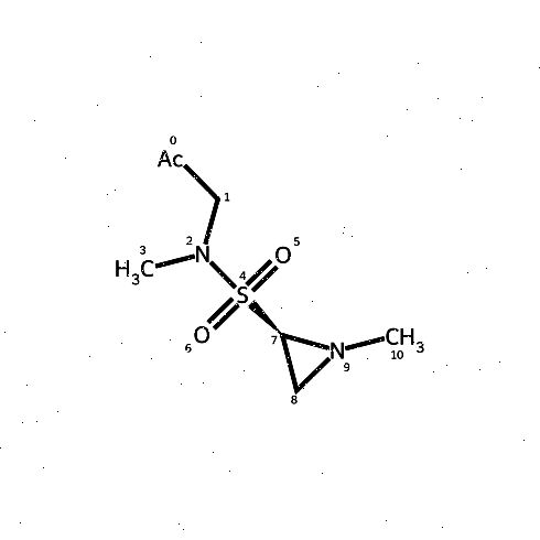 CC(=O)CN(C)S(=O)(=O)[C@@H]1CN1C